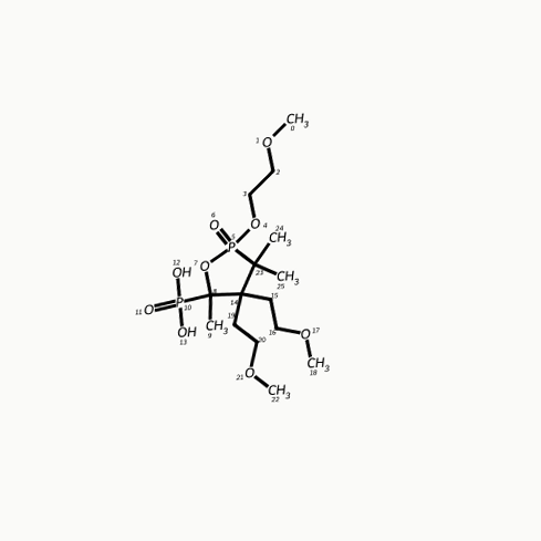 COCCOP1(=O)OC(C)(P(=O)(O)O)C(CCOC)(CCOC)C1(C)C